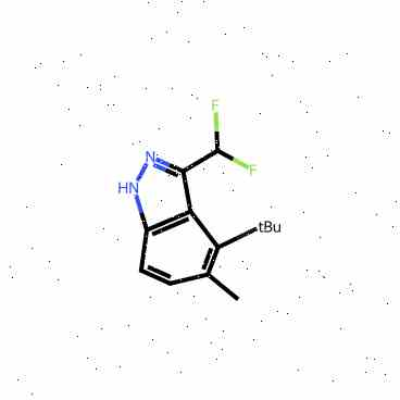 Cc1ccc2[nH]nc(C(F)F)c2c1C(C)(C)C